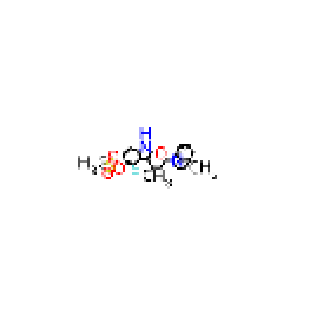 CC(CC(=O)N1CC2CC3CC1CC(C)(C3)C2)c1c[nH]c2ccc(OS(C)(=O)=O)c(F)c12